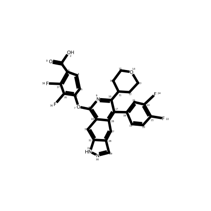 O=C(O)c1ccc(Oc2nc(C3CCOCC3)c(-c3ccc(F)c(F)c3)c3cc4cn[nH]c4cc23)c(F)c1F